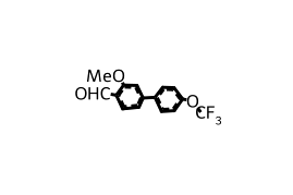 COc1cc(-c2ccc(OC(F)(F)F)cc2)ccc1C=O